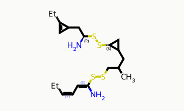 CC/C=C\C=C(/N)SSCC(C)CC1C[C@@H]1SS[C@@H](N)CC1C=C1CC